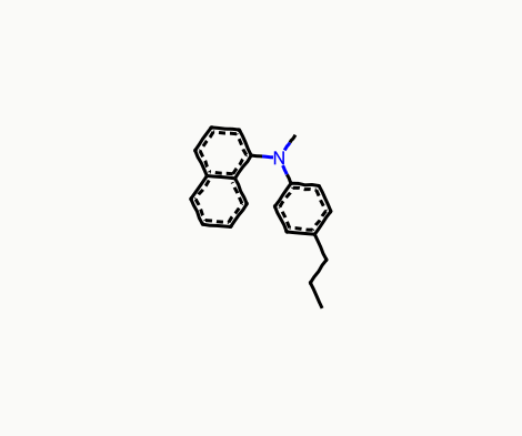 CCCc1ccc(N(C)c2cccc3ccccc23)cc1